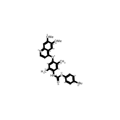 COc1cc2nccc(Oc3cc(C)c(NC(=O)Oc4ccc(C(C)(C)C)cc4)cc3C)c2cc1OC